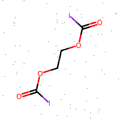 O=C(I)OCCOC(=O)I